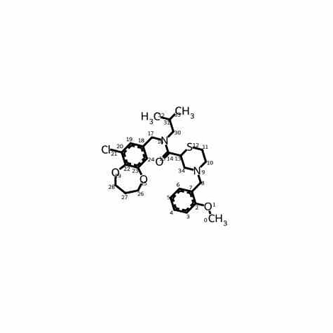 COc1ccccc1CN1CCSC(C(=O)N(Cc2cc(Cl)c3c(c2)OCCCO3)CC(C)C)C1